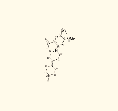 C=C(C)c1cc([N+](=O)[O-])c(OC)cc1N1CCC(N2CCN(C)CC2)CC1